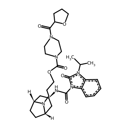 CC(C)n1c(=O)n(C(=O)N[C@@H]2C[C@H]3CC[C@@H](C2)N3CCCOC(=O)N2CCN(C(=O)C3CCCO3)CC2)c2ccccc21